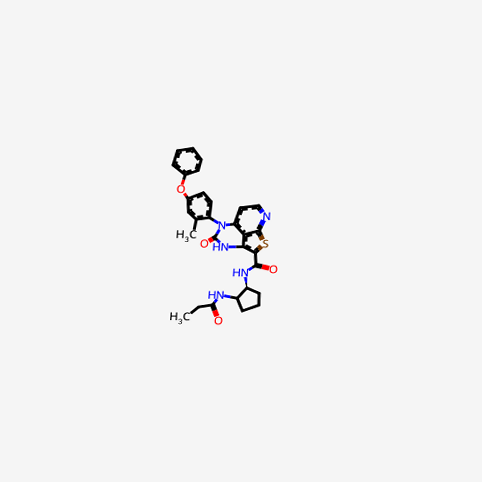 CCC(=O)NC1CCC[C@@H]1NC(=O)c1sc2nccc3c2c1NC(=O)N3c1ccc(Oc2ccccc2)cc1C